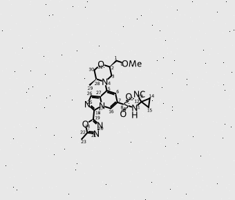 COC[C@H]1CN(c2cc(S(=O)(=O)NC3(C#N)CC3)cn3c(-c4nnc(C)o4)ncc23)[C@@H](C)CO1